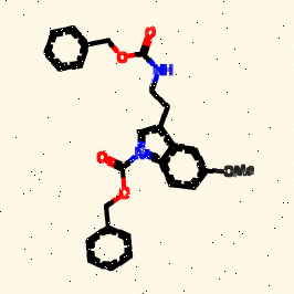 COc1ccc2c(c1)c(CCNC(=O)OCc1ccccc1)cn2C(=O)OCc1ccccc1